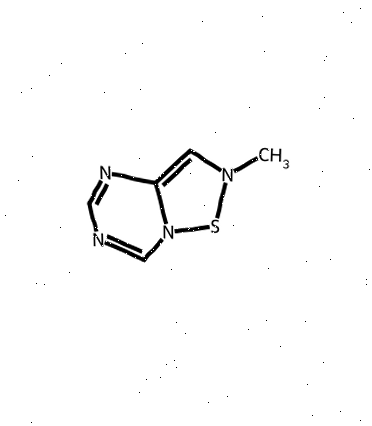 CN1C=C2N=CN=CN2S1